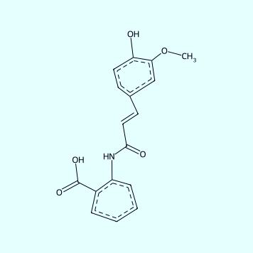 COc1cc(C=CC(=O)Nc2ccccc2C(=O)O)ccc1O